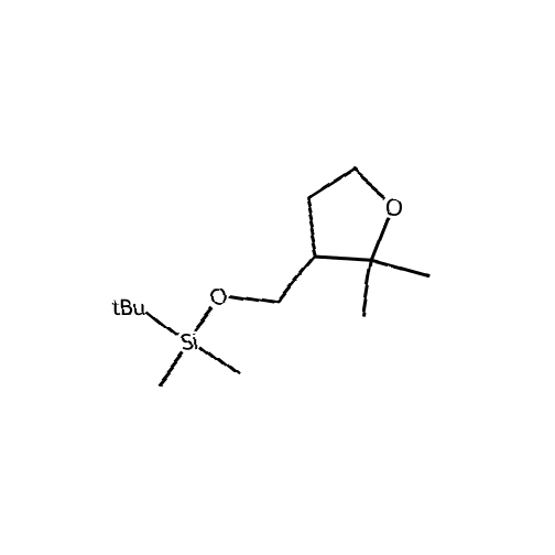 CC1(C)OCCC1CO[Si](C)(C)C(C)(C)C